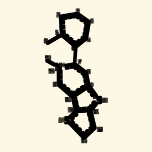 Cc1ccccc1-c1cc2sc3ccsc3c2c[n+]1C